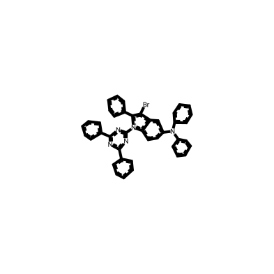 Brc1c(-c2ccccc2)n(-c2nc(-c3ccccc3)nc(-c3ccccc3)n2)c2ccc(N(c3ccccc3)c3ccccc3)cc12